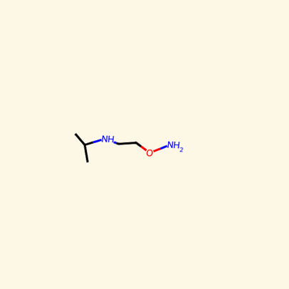 CC(C)NCCON